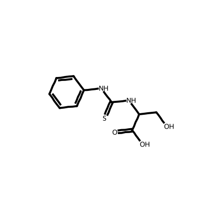 O=C(O)C(CO)NC(=S)Nc1ccccc1